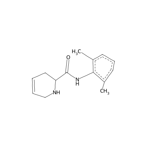 Cc1cccc(C)c1NC(=O)C1CC=CCN1